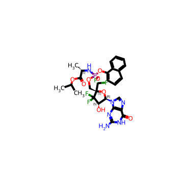 CC(C)OC(=O)[C@H](C)NP(=O)(OC[C@@]1(C(F)F)O[C@@H](n2cnc3c(=O)[nH]c(N)nc32)[C@H](O)C1(F)F)Oc1cccc2ccccc12